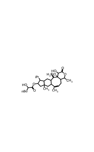 C=C1C2CC3C(C(C)C)C(OC(=O)C(O)CCCC)CC3(C)CC2C(C)=CCC2C(C)OC(=O)C(O)C12O